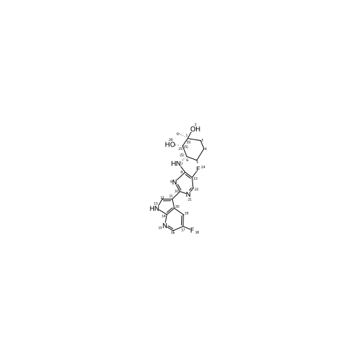 C[C@]1(O)CCC[C@H](Nc2nc(-c3c[nH]c4ncc(F)cc34)ncc2F)[C@@H]1O